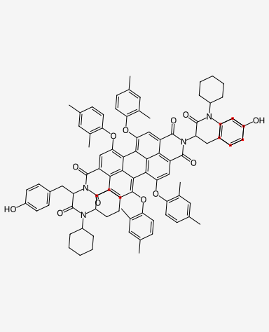 Cc1ccc(Oc2cc3c4c(cc(Oc5ccc(C)cc5C)c5c6c(Oc7ccc(C)cc7C)cc7c8c(cc(Oc9ccc(C)cc9C)c(c2c45)c86)C(=O)N(C(Cc2ccc(O)cc2)C(=O)N(C2CCCCC2)C2CCCCC2)C7=O)C(=O)N(C(Cc2ccc(O)cc2)C(=O)N(C2CCCCC2)C2CCCCC2)C3=O)c(C)c1